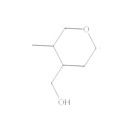 CC1[CH]OCCC1CO